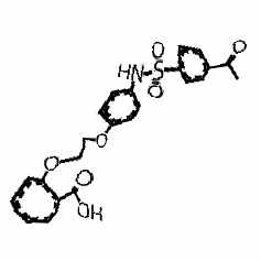 CC(=O)c1ccc(S(=O)(=O)Nc2ccc(OCCOc3ccccc3C(=O)O)cc2)cc1